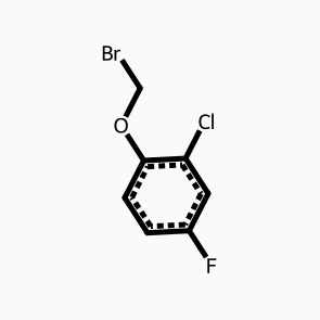 Fc1ccc(OCBr)c(Cl)c1